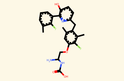 Cc1cccc(-c2nc(Cc3c(C)cc(OCC(N)NC(=O)O)c(F)c3C)ccc2O)c1F